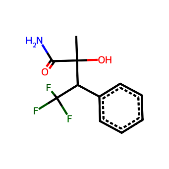 CC(O)(C(N)=O)C(c1ccccc1)C(F)(F)F